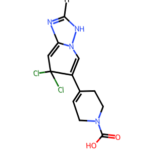 [2H]C1=NC2=CC(Cl)(Cl)C(C3=CCN(C(=O)O)CC3)=CN2N1